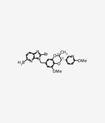 Bc1ccc2nc(Br)n(Cc3cc(OC)c4c(c3)O[C@@H](C)[C@H](c3ccc(OC)nc3)O4)c2n1